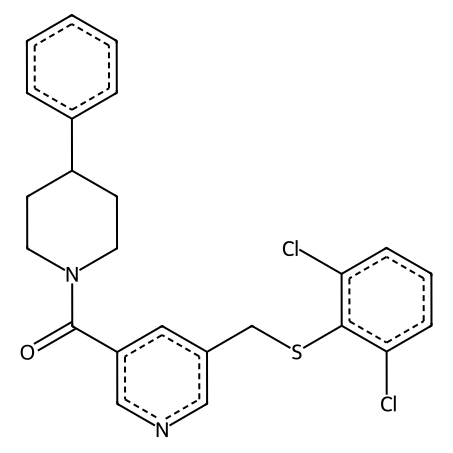 O=C(c1cncc(CSc2c(Cl)cccc2Cl)c1)N1CCC(c2ccccc2)CC1